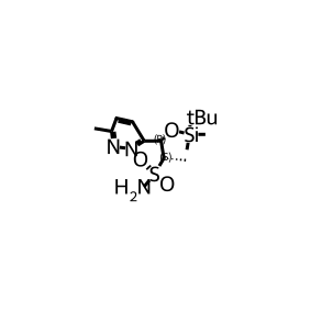 Cc1ccc([C@@H](O[Si](C)(C)C(C)(C)C)[C@H](C)S(N)(=O)=O)nn1